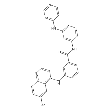 CC(=O)c1ccc2nccc(Nc3cccc(C(=O)Nc4cccc(Nc5ccncc5)c4)c3)c2c1